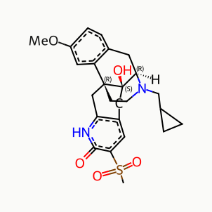 COc1ccc2c(c1)[C@]13CCN(CC4CC4)[C@H](C2)[C@]1(O)Cc1cc(S(C)(=O)=O)c(=O)[nH]c1C3